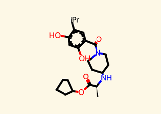 CC(C)c1cc(C(=O)N2CCC(N[C@@H](C)C(=O)OC3CCCC3)CC2)c(O)cc1O